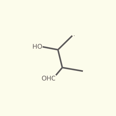 [CH2]C(O)C(C)C=O